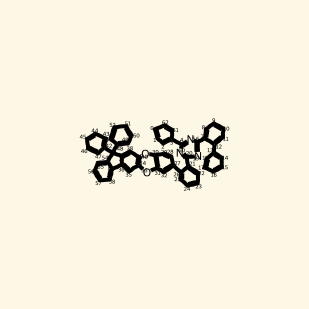 c1ccc(-c2nc(-c3ccccc3-c3ccccc3)nc(-c3ccccc3-c3ccc4c(c3)Oc3cc5c(cc3O4)C(c3ccccc3)(c3ccccc3)c3ccccc3-5)n2)cc1